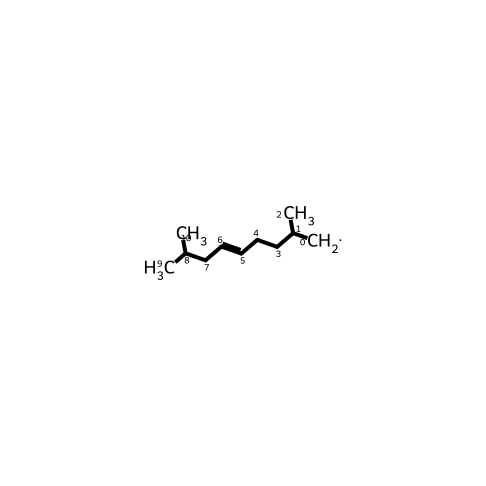 [CH2]C(C)CC/C=C/CC(C)C